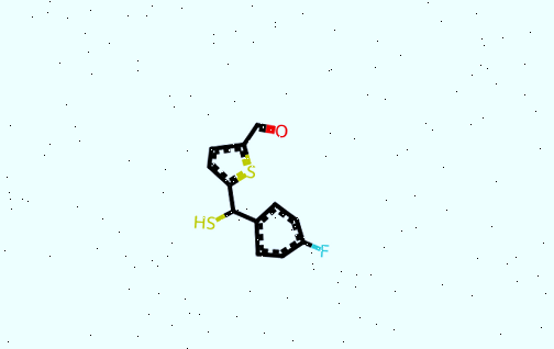 O=Cc1ccc(C(S)c2ccc(F)cc2)s1